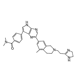 Cc1cc(-c2cnc3[nH]cc(-c4ccc(C(=O)N(C)C)cc4)c3n2)cc2c1CCN(CCC1=NCCN1)C2